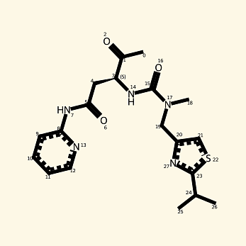 CC(=O)[C@H](CC(=O)Nc1ccccn1)NC(=O)N(C)Cc1csc(C(C)C)n1